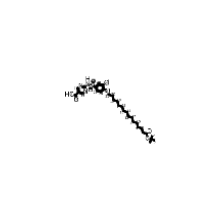 CC(C)(C)OC(=O)CCCCCCCCCCCCCCCOc1ccc(S(=O)(=O)Nc2ncc(C(=O)O)cn2)cc1Cl